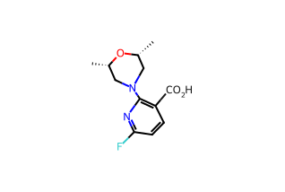 C[C@@H]1CN(c2nc(F)ccc2C(=O)O)C[C@H](C)O1